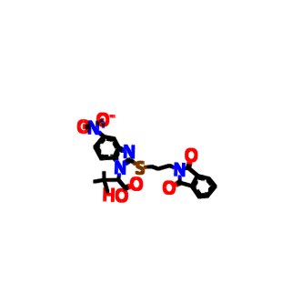 CC(C)(C)C(C(=O)O)n1c(SCCCN2C(=O)c3ccccc3C2=O)nc2cc([N+](=O)[O-])ccc21